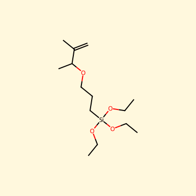 C=C(C)C(C)OCCC[Si](OCC)(OCC)OCC